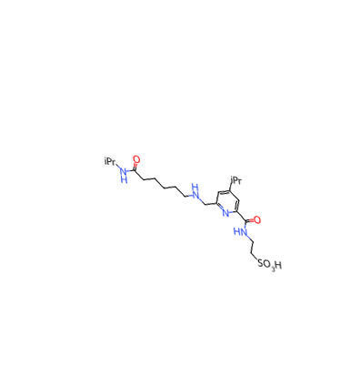 CC(C)NC(=O)CCCCCNCc1cc(C(C)C)cc(C(=O)NCCS(=O)(=O)O)n1